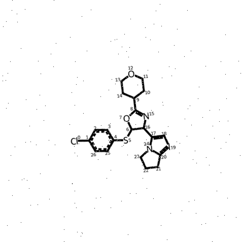 Clc1ccc(SC2OC(C3CCOCC3)=NC2C2=CI=C3CCCN23)cc1